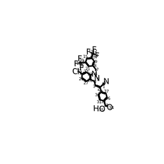 N#C/C(=C\c1nn(Cc2cc(C(F)(F)F)cc(C(F)(F)F)c2)c2cc(Cl)ccc12)c1ccc(C(=O)O)cc1